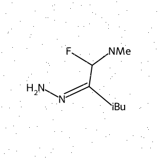 CCC(C)/C(=N/N)C(F)NC